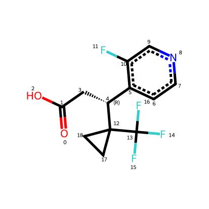 O=C(O)C[C@H](c1ccncc1F)C1(C(F)(F)F)CC1